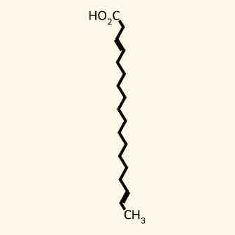 CC=CCCCCCCCCCCCC=CCC(=O)O